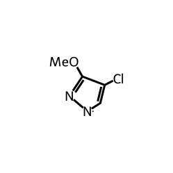 COC1=N[N]C=C1Cl